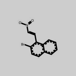 O=[N+]([O-])C=Cc1c(Br)ccc2ccccc12